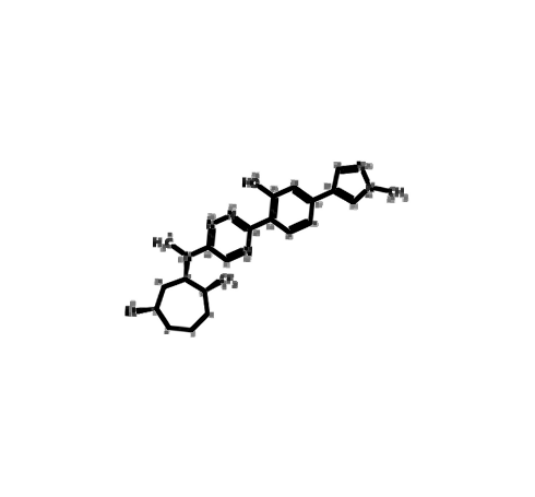 CC[C@@H]1CCC[C@H](C(F)(F)F)[C@H](N(C)c2cnc(-c3ccc(-c4cnn(C)c4)cc3O)nn2)C1